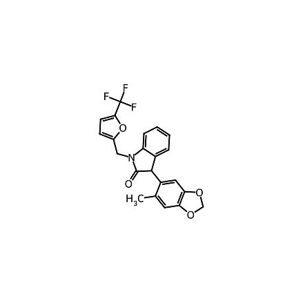 Cc1cc2c(cc1C1C(=O)N(Cc3ccc(C(F)(F)F)o3)c3ccccc31)OCO2